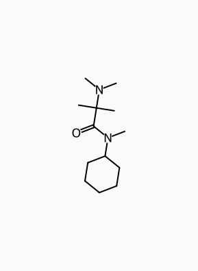 CN(C(=O)C(C)(C)N(C)C)C1CCCCC1